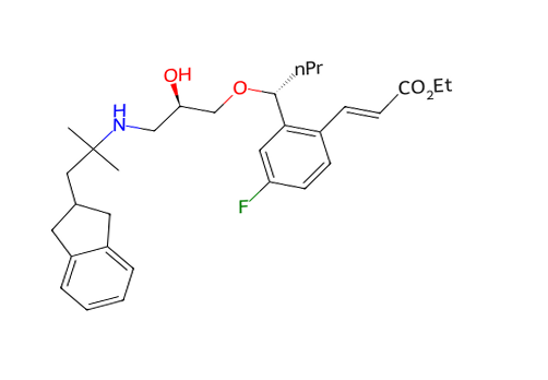 CCC[C@@H](OC[C@H](O)CNC(C)(C)CC1Cc2ccccc2C1)c1cc(F)ccc1/C=C/C(=O)OCC